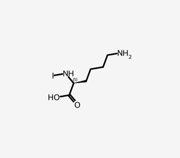 NCCCC[C@H](NI)C(=O)O